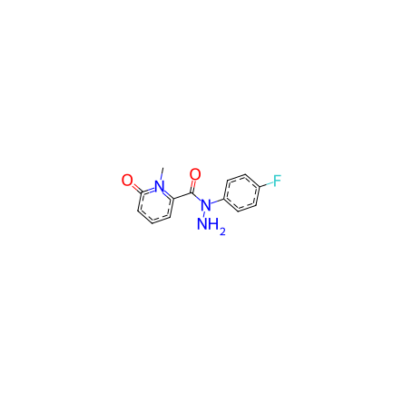 Cn1c(C(=O)N(N)c2ccc(F)cc2)cccc1=O